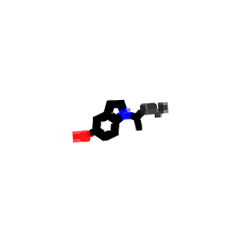 CC(C(=O)O)n1ccc2cc(O)ccc21